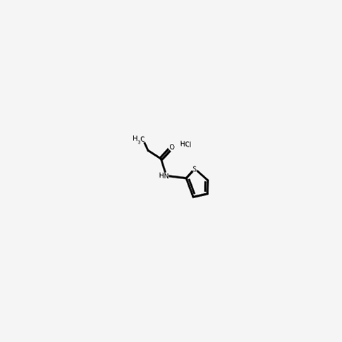 CCC(=O)Nc1cccs1.Cl